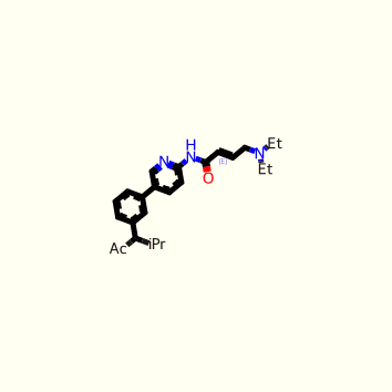 CCN(CC)C/C=C/C(=O)Nc1ccc(-c2cccc(C(C(C)=O)C(C)C)c2)cn1